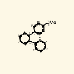 COc1ccc(-c2ccccc2-c2ccccn2)cc1